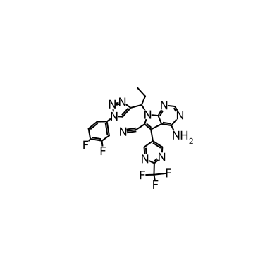 CCC(c1cn(-c2ccc(F)c(F)c2)nn1)n1c(C#N)c(-c2cnc(C(F)(F)F)nc2)c2c(N)ncnc21